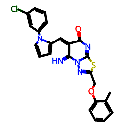 Cc1ccccc1OCC1=NN2C(=N)/C(=C\c3cccn3-c3cccc(Cl)c3)C(=O)N=C2S1